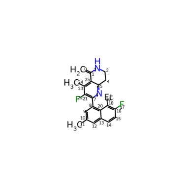 C=C1NCCc2nc(-c3cc(C)cc4ccc(F)c(CC)c34)c(F)c(C)c21